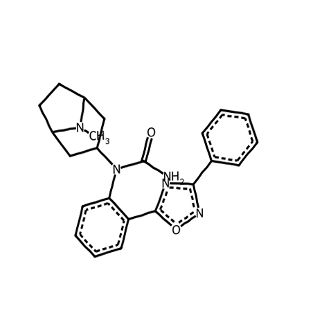 CN1C2CCC1CC(N(C(N)=O)c1ccccc1-c1nc(-c3ccccc3)no1)C2